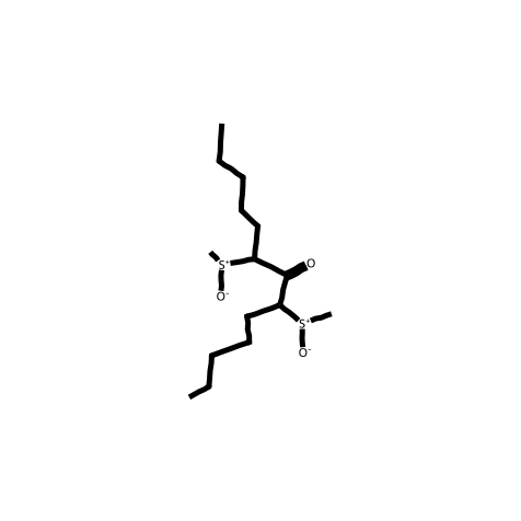 CCCCCC(C(=O)C(CCCCC)[S+](C)[O-])[S+](C)[O-]